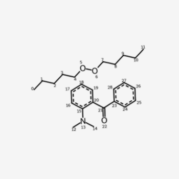 CCCCCOOCCCCC.CN(C)c1ccccc1C(=O)c1ccccc1